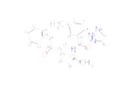 Cc1ccc(-n2nccn2)c(C(=O)N2C[C@@H](C(=O)Cc3ccccc3)CC[C@H]2C)c1